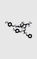 COC(=O)/C=C1\C[C@@H](CC(OCc2ccc(OC)cc2)[C@@H](C)OCc2ccccc2)O[C@@](OC)(C(C)(C)/C=C/COCc2ccc(OC)cc2)C1=O